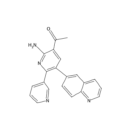 CC(=O)c1cc(-c2ccc3ncccc3c2)c(-c2cccnc2)nc1N